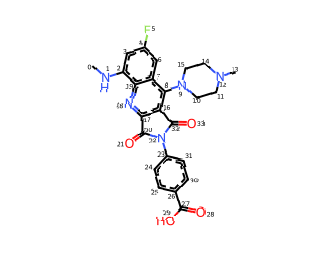 CNc1cc(F)cc2c(N3CCN(C)CC3)c3c(nc12)C(=O)N(c1ccc(C(=O)O)cc1)C3=O